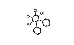 Oc1c(Cl)c(Cl)c(O)c(-c2ccccc2)c1-c1ccccc1